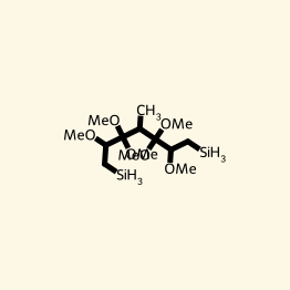 COC(C[SiH3])C(OC)(OC)C(C)C(OC)(OC)C(C[SiH3])OC